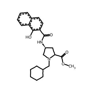 COC(=O)C1C[C@H](NC(=O)c2ccc3ccccc3c2O)CN1CC1CCCCC1